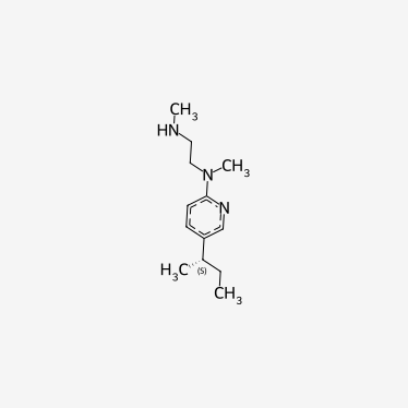 CC[C@H](C)c1ccc(N(C)CCNC)nc1